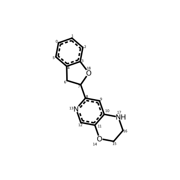 [c]1ccc2c(c1)CC(c1cc3c(cn1)OCCN3)O2